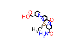 CCCSc1nc(N2CCC[C@@H](CC(=O)O)C2)ccc1C(=O)N1CCC(C(N)=O)CC1